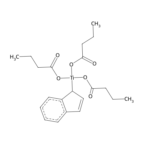 CCCC(=O)[O][Ti]([O]C(=O)CCC)([O]C(=O)CCC)[CH]1C=Cc2ccccc21